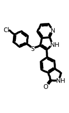 O=C1NCc2cc(-c3[nH]c4ncccc4c3Sc3ccc(Cl)cc3)ccc21